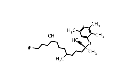 C#C[C@](C)(CCC[C@@H](C)CCC[C@@H](C)CCCC(C)C)Oc1cc(C)[c]c(C)c1C